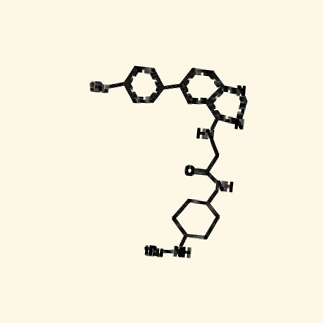 CC(C)(C)NC1CCC(NC(=O)CNc2ncnc3ccc(-c4ccc(C(C)(C)C)cc4)cc23)CC1